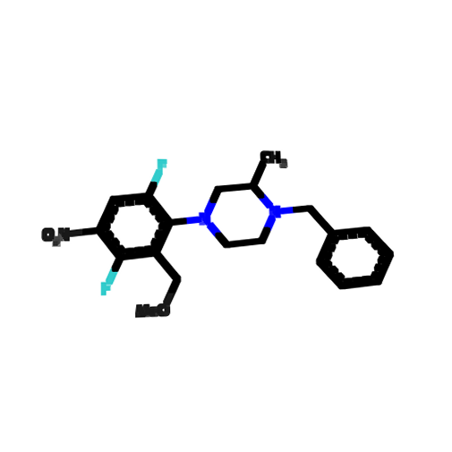 COCc1c(F)c([N+](=O)[O-])cc(F)c1N1CCN(Cc2ccccc2)C(C)C1